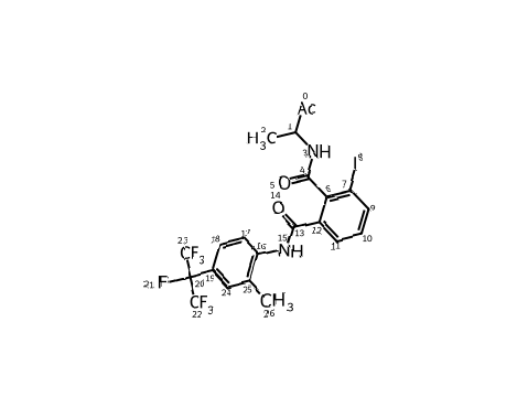 CC(=O)C(C)NC(=O)c1c(I)cccc1C(=O)Nc1ccc(C(F)(C(F)(F)F)C(F)(F)F)cc1C